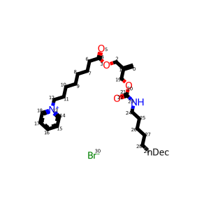 C=C(COC(=O)CCCCCCC[n+]1ccccc1)COC(=O)NCCCCCCCCCCCCCCC.[Br-]